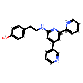 Oc1ccc(CCNc2cc(-c3cccnc3)cc(-c3ccccn3)n2)cc1